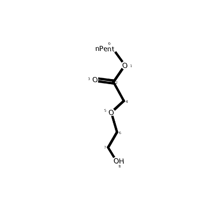 CCCCCOC(=O)COCCO